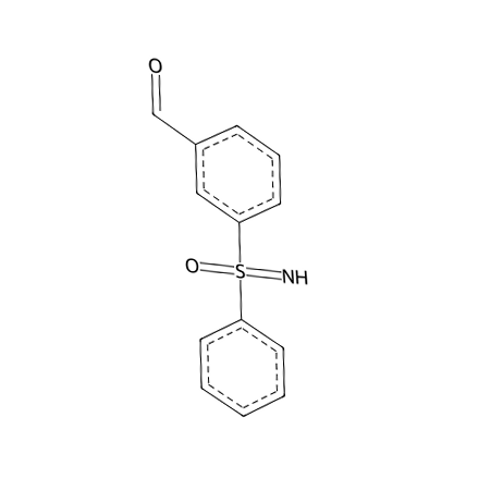 N=S(=O)(c1ccccc1)c1cccc(C=O)c1